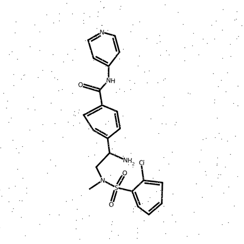 CN(CC(N)c1ccc(C(=O)Nc2ccncc2)cc1)S(=O)(=O)c1ccccc1Cl